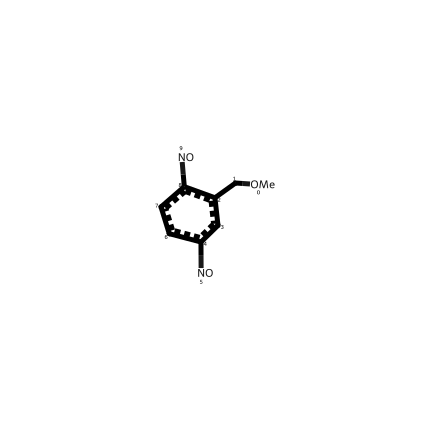 COCc1cc(N=O)ccc1N=O